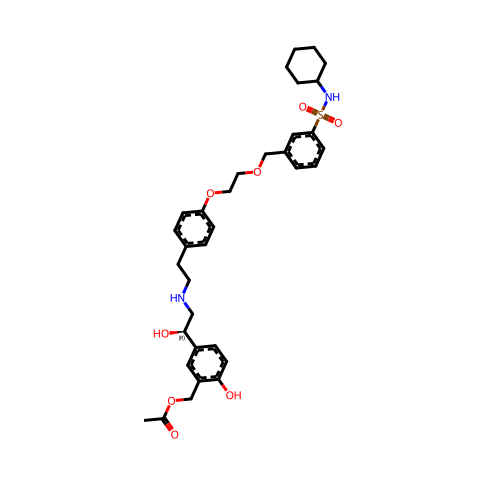 CC(=O)OCc1cc([C@@H](O)CNCCc2ccc(OCCOCc3cccc(S(=O)(=O)NC4CCCCC4)c3)cc2)ccc1O